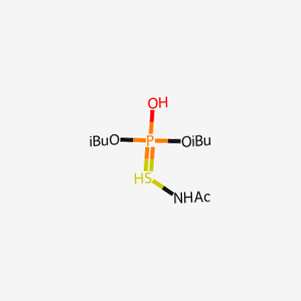 CC(=O)N[SH]=P(O)(OCC(C)C)OCC(C)C